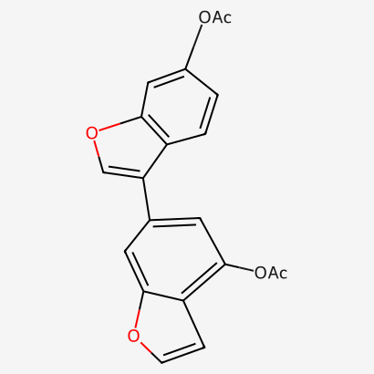 CC(=O)Oc1ccc2c(-c3cc(OC(C)=O)c4ccoc4c3)coc2c1